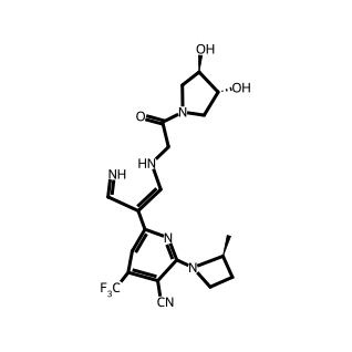 C[C@H]1CCN1c1nc(/C(C=N)=C/NCC(=O)N2C[C@@H](O)[C@H](O)C2)cc(C(F)(F)F)c1C#N